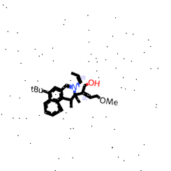 C/C=C\[N+]1=Cc2cc(C(C)(C)C)c3ccccc3c2C(C)C1(C)/C(=C/COC)CO